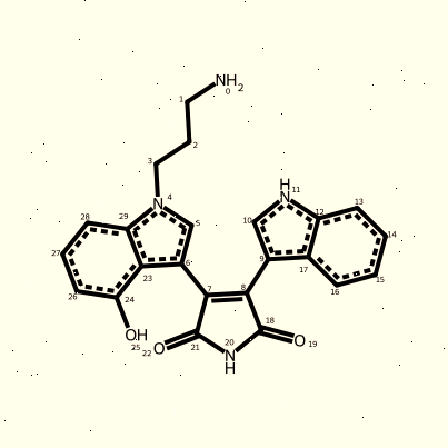 NCCCn1cc(C2=C(c3c[nH]c4ccccc34)C(=O)NC2=O)c2c(O)cccc21